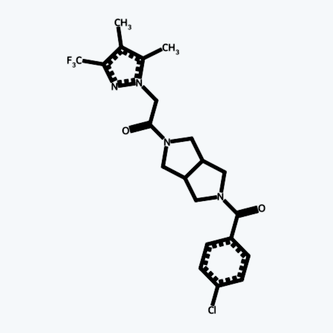 Cc1c(C(F)(F)F)nn(CC(=O)N2CC3CN(C(=O)c4ccc(Cl)cc4)CC3C2)c1C